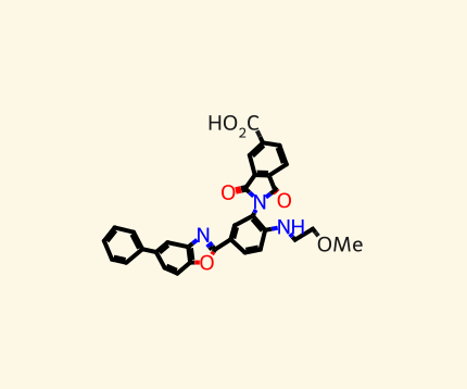 COCCNc1ccc(-c2nc3cc(-c4ccccc4)ccc3o2)cc1N1C(=O)c2ccc(C(=O)O)cc2C1=O